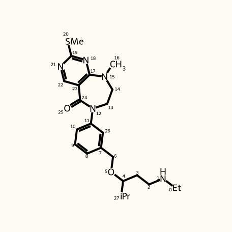 CCNCCC(OCc1cccc(N2CCN(C)c3nc(SC)ncc3C2=O)c1)C(C)C